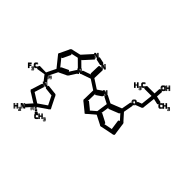 CC(C)(O)COc1cccc2ccc(-c3nnc4ccc([C@@H](N5CC[C@@](C)(N)C5)C(F)(F)F)cn34)nc12